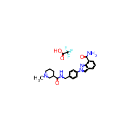 CN1CCCC(C(=O)NCc2ccc(-n3cc4cccc(C(N)=O)c4n3)cc2)C1.O=C(O)C(F)(F)F